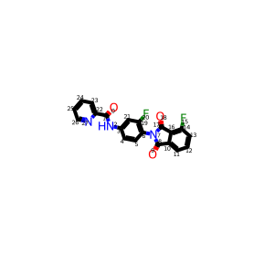 O=C(Nc1ccc(N2C(=O)c3cccc(F)c3C2=O)c(F)c1)c1ccccn1